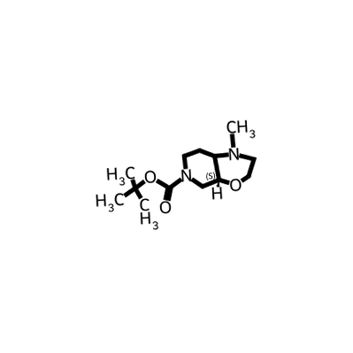 CN1CCO[C@H]2CN(C(=O)OC(C)(C)C)CCC21